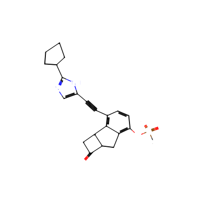 O=C1CC2c3c(C#Cc4cnc(C5CCCC5)[nH]4)ccc(OS(=O)(=O)C(F)(F)F)c3CC12